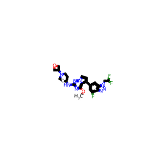 COc1nc(NC2CCN(C3COC3)CC2)nn2ccc(-c3cc(F)c4nnn(CC(F)F)c4c3)c12